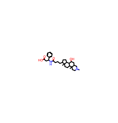 CN1CCC2(C)C(CC(O)C3C4CCC(CCCC(=O)NC(CC(=O)O)c5ccccc5)C4(C)CCC32)C1